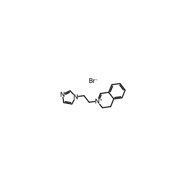 C1=[N+](CCn2ccnc2)CCc2ccccc21.[Br-]